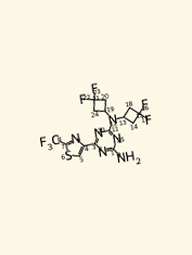 Nc1nc(-c2csc(C(F)(F)F)n2)nc(N(C2CC(F)(F)C2)C2CC(F)(F)C2)n1